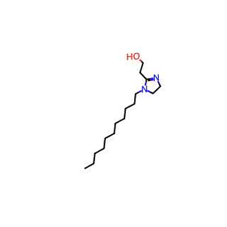 CCCCCCCCCCCN1CCN=C1CCO